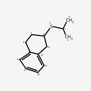 CC(C)SC1CCc2ccccc2C1